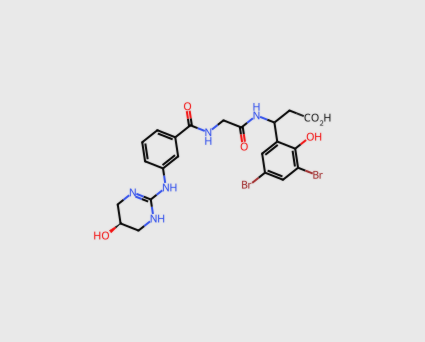 O=C(O)CC(NC(=O)CNC(=O)c1cccc(NC2=NC[C@H](O)CN2)c1)c1cc(Br)cc(Br)c1O